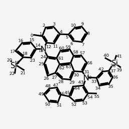 Cc1ccc(-c2ccccc2)cc1N(c1cccc([Si](C)(C)C)c1)c1ccc2ccc3c(N(c4cccc([Si](C)(C)C)c4)c4cc(-c5ccccc5)ccc4C)ccc4ccc1c2c43